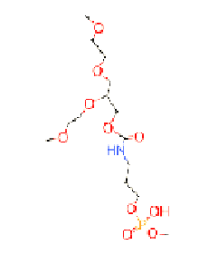 COCCOCC(COC(=O)NCCCOP(=O)(O)OC)OCCOC